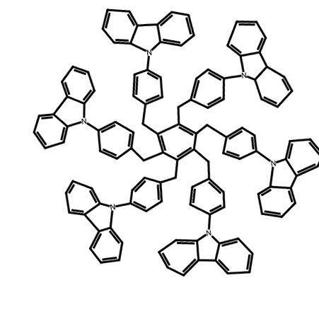 C1=CC2c3ccccc3N(c3ccc(Cc4c(Cc5ccc(-n6c7ccccc7c7ccccc76)cc5)c(Cc5ccc(-n6c7ccccc7c7ccccc76)cc5)c(Cc5ccc(-n6c7ccccc7c7ccccc76)cc5)c(Cc5ccc(-n6c7ccccc7c7ccccc76)cc5)c4Cc4ccc(-n5c6ccccc6c6ccccc65)cc4)cc3)C2C=C1